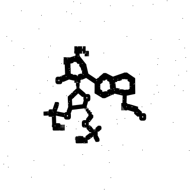 CC(C)(C)[Si](C)(C)OC[C@H]1O[C@@H](n2c(-c3ccc4c(N=C=O)cccc4c3)cc(N)nc2=O)CC1O[Si](C)(C)C(C)(C)C